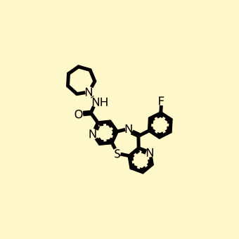 O=C(NN1CCCCCC1)c1cc2c(cn1)Sc1cccnc1C(c1cccc(F)c1)=N2